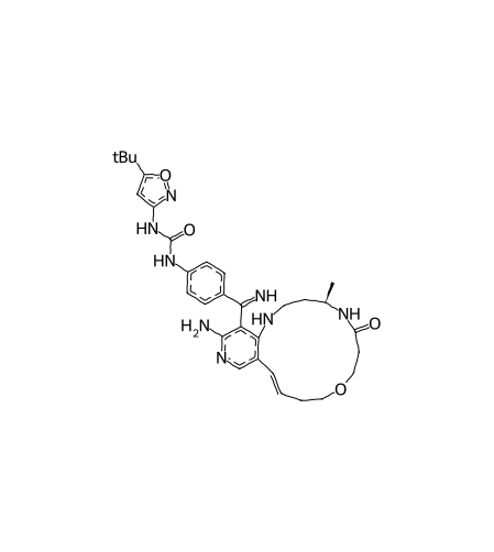 C[C@@H]1CCNc2c(cnc(N)c2C(=N)c2ccc(NC(=O)Nc3cc(C(C)(C)C)on3)cc2)/C=C/CCOCCC(=O)N1